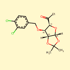 CCC(=O)[C@H]1O[C@@H]2OC(C)(C)O[C@@H]2[C@H]1OCc1ccc(Cl)c(Cl)c1